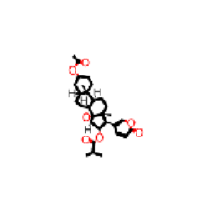 CC(=O)O[C@H]1CC[C@@]2(C)[C@H](CC[C@@H]3[C@@H]2CC[C@]2(C)[C@@H](c4ccc(=O)oc4)[C@@H](OC(=O)C(C)C)[C@H]4O[C@]342)C1